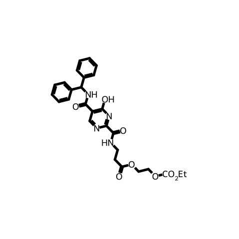 CCOC(=O)OCCOC(=O)CCNC(=O)c1ncc(C(=O)NC(c2ccccc2)c2ccccc2)c(O)n1